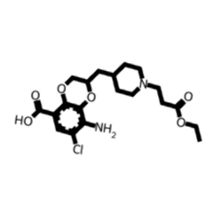 CCOC(=O)CCN1CCC(CC2COc3c(C(=O)O)cc(Cl)c(N)c3O2)CC1